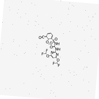 COC1C(=C=O)C=CC=C1S(=O)(=O)NC(=O)Nc1nc(OC(F)F)cc(OC(F)F)n1